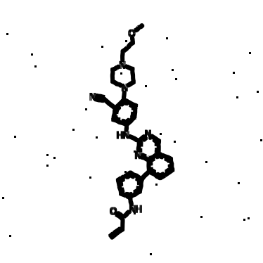 C=CC(=O)Nc1cccc(-c2cccc3cnc(Nc4ccc(N5CCN(CCOC)CC5)c(C#N)c4)nc23)c1